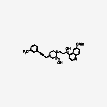 COc1ccc2nccc([C@@H](O)CC[C@@H]3CCN(CC#Cc4cccc(C(F)(F)F)c4)C[C@@H]3CO)c2c1